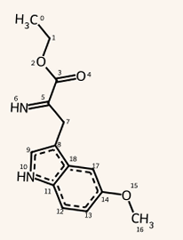 CCOC(=O)C(=N)Cc1c[nH]c2ccc(OC)cc12